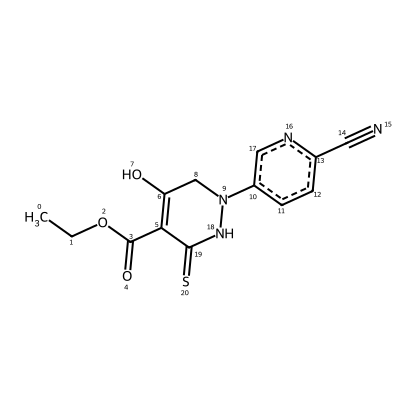 CCOC(=O)C1=C(O)CN(c2ccc(C#N)nc2)NC1=S